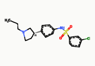 CCCN1CC[C@@H](c2ccc(NS(=O)(=O)c3cccc(Cl)c3)cc2)C1